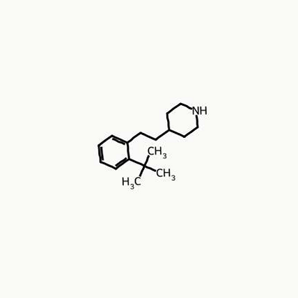 CC(C)(C)c1ccccc1CCC1CCNCC1